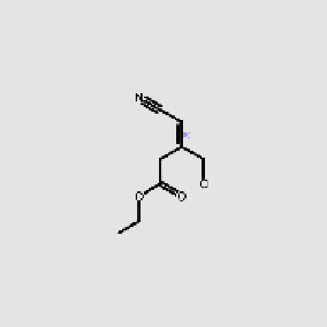 CCOC(=O)C/C(=C\C#N)CCl